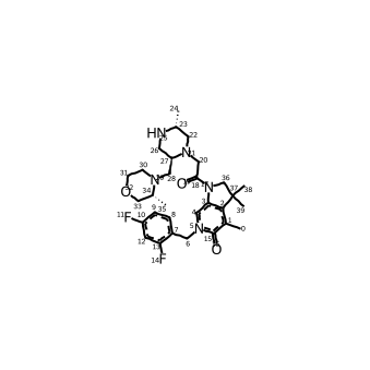 Cc1c2c(cn(Cc3ccc(F)cc3F)c1=O)N(C(=O)CN1C[C@@H](C)NC[C@@H]1CN1CCOC[C@H]1C)CC2(C)C